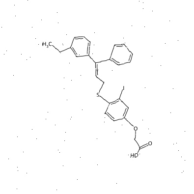 CCc1cccc(C(=CCSc2ccc(OCC(=O)O)cc2I)c2ccccc2)c1